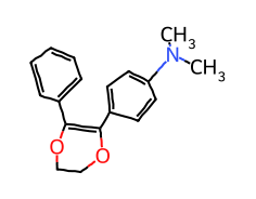 CN(C)c1ccc(C2=C(c3ccccc3)OCCO2)cc1